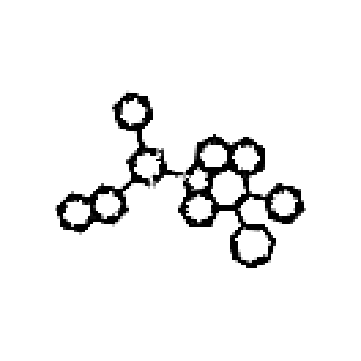 C1=CCC=C(C2=C(c3ccccc3)c3cccc4ccc5c(c34)c3c2cccc3n5-c2nc(-c3ccccc3)cc(-c3ccc4ccccc4c3)n2)C=C1